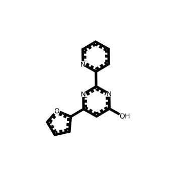 Oc1cc(-c2ccco2)nc(-c2ccccn2)n1